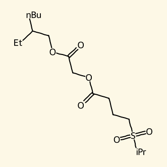 CCCCC(CC)COC(=O)COC(=O)CCCS(=O)(=O)C(C)C